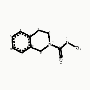 O=C(OCl)N1CCc2ccccc2C1